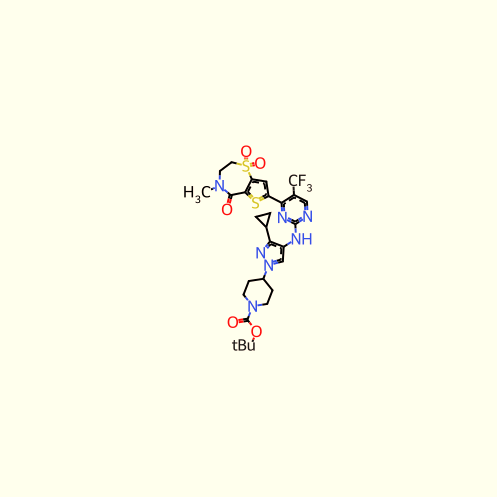 CN1CCS(=O)(=O)c2cc(-c3nc(Nc4cn(C5CCN(C(=O)OC(C)(C)C)CC5)nc4C4CC4)ncc3C(F)(F)F)sc2C1=O